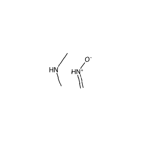 C=[NH+][O-].CNC